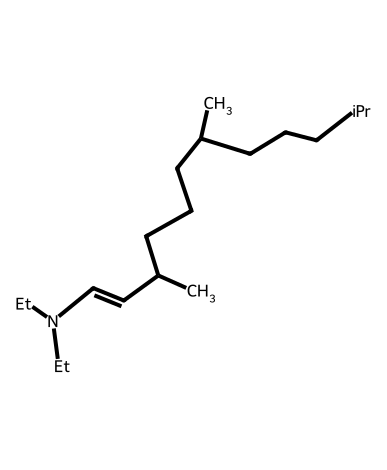 CCN(C=CC(C)CCCC(C)CCCC(C)C)CC